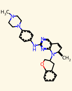 C=C1C=Cc2cnc(Nc3ccc(N4CCN(C)CC4)cc3)nc2N1C1COc2ccccc2C1